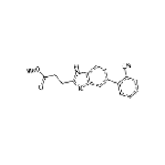 COC(=O)CCc1nc2cc(-c3ccccc3C#N)ccc2[nH]1